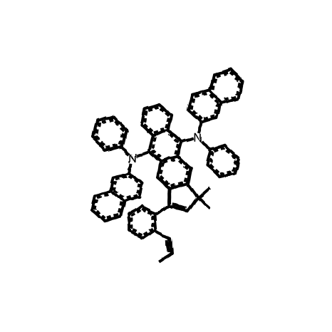 C/C=C\c1ccccc1C1=CC(C)(C)c2cc3c(N(c4ccccc4)c4ccc5ccccc5c4)c4ccccc4c(N(c4ccccc4)c4ccc5ccccc5c4)c3cc21